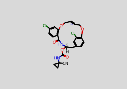 N#CC1(NC(=O)O[C@H]2Cc3ccc(c(Cl)c3)OC/C=C/COc3cc(Cl)ccc3C(=O)N2)CC1